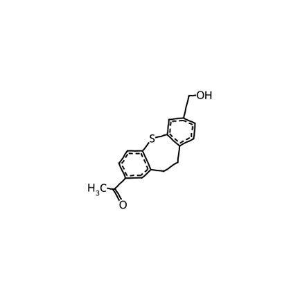 CC(=O)c1ccc2c(c1)CCc1ccc(CO)cc1S2